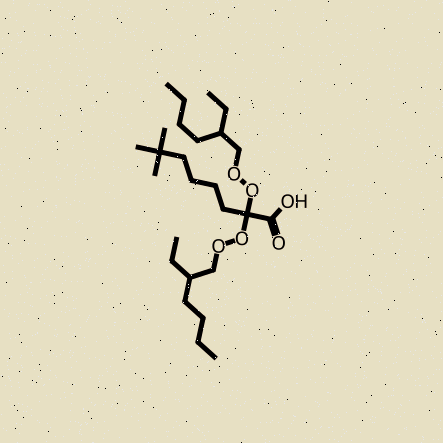 CCCCC(CC)COOC(CCCCC(C)(C)C)(OOCC(CC)CCCC)C(=O)O